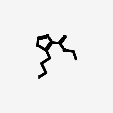 CCOC(=O)c1ncsc1CCCI